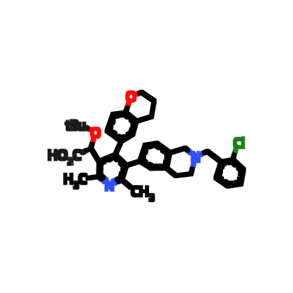 Cc1nc(C)c([C@H](OC(C)(C)C)C(=O)O)c(-c2ccc3c(c2)CCCO3)c1-c1ccc2c(c1)CCN(Cc1ccccc1Cl)C2